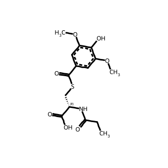 CCC(=O)N[C@@H](CSC(=O)c1cc(OC)c(O)c(OC)c1)C(=O)O